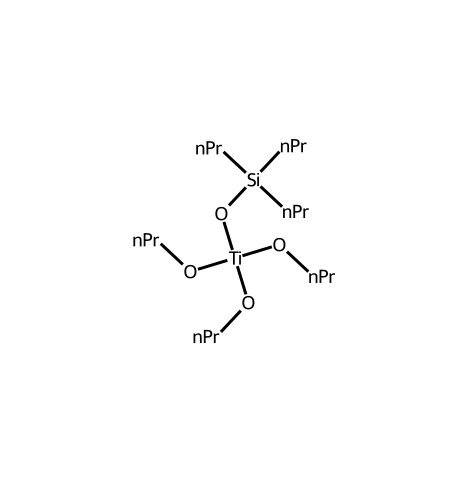 CCC[O][Ti]([O]CCC)([O]CCC)[O][Si](CCC)(CCC)CCC